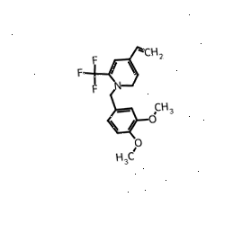 C=CC1=CCN(Cc2ccc(OC)c(OC)c2)C(C(F)(F)F)=C1